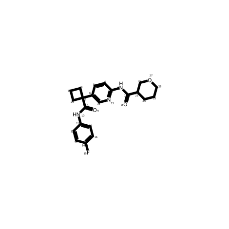 O=C(Nc1ccc(C2(C(=O)Nc3ccc(F)cc3)CCC2)cn1)C1CCCOC1